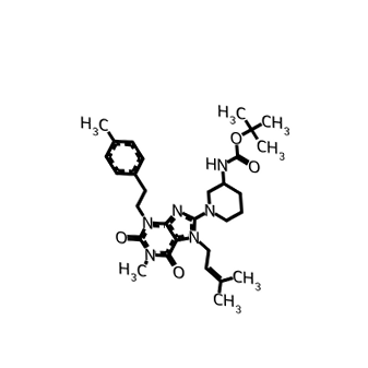 CC(C)=CCn1c(N2CCCC(NC(=O)OC(C)(C)C)C2)nc2c1c(=O)n(C)c(=O)n2CCc1ccc(C)cc1